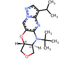 CC(C)c1cnn2cc3c(nc12)N(C(C)(C)C)[C@H]1COC[C@@H]1O3